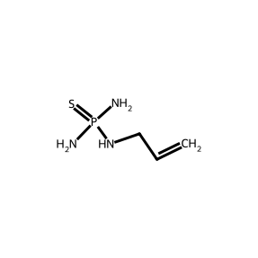 C=CCNP(N)(N)=S